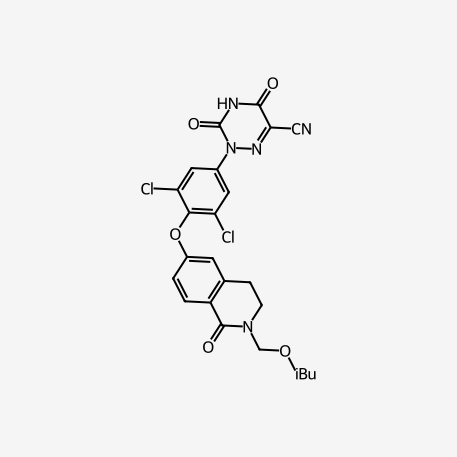 CCC(C)OCN1CCc2cc(Oc3c(Cl)cc(-n4nc(C#N)c(=O)[nH]c4=O)cc3Cl)ccc2C1=O